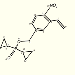 C=Cc1cc(COP(=O)(N2CC2)N2CC2)ccc1[N+](=O)[O-]